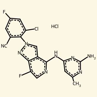 Cc1cc(Nc2ncc(F)c3nn(-c4c(Cl)cc(F)cc4C#N)cc23)nc(N)n1.Cl